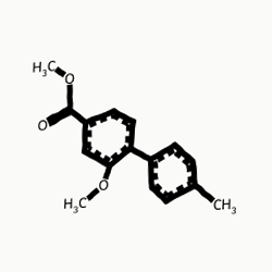 COC(=O)c1ccc(-c2ccc(C)cc2)c(OC)c1